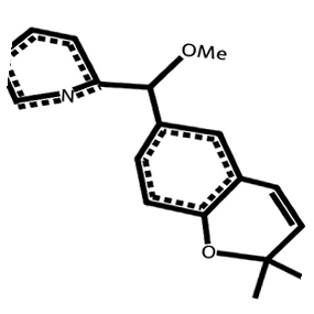 COC(c1ccc2c(c1)C=CC(C)(C)O2)c1ccccn1